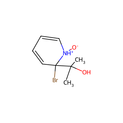 CC(C)(O)C1(Br)C=CC=C[NH+]1[O-]